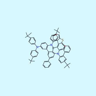 CC(C)(C)c1ccc(N2B3c4c(cc(-c5ccccc5)cc4N(c4ccc(C(C)(C)C)cc4-c4ccccc4)c4ccc5sc6ccccc6c5c43)-c3cc(N(c4ccc(C(C)(C)C)cc4)c4ccc(C(C)(C)C)cc4)ccc32)cc1